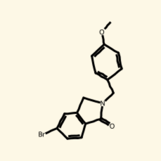 COc1ccc(CN2Cc3cc(Br)ccc3C2=O)cc1